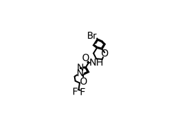 O=C(NC1COc2ccc(Br)cc2C1)c1cc2n(n1)CCC(C(F)F)O2